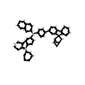 c1ccc(-n2c3ccccc3c3cc(N(c4ccc(-c5ccc6c(c5)C5(CC7CCC5C7)c5ccccc5-6)cc4)c4ccc5ccccc5c4)ccc32)cc1